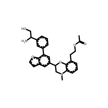 CC(=O)OCCc1cccc2c1OC(c1cc(-c3cccc(C(N)CO)c3)c3occc3c1)CN2C